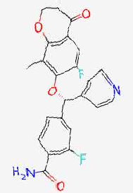 Cc1c(O[C@H](c2ccncc2)c2ccc(C(N)=O)c(F)c2)c(F)cc2c1OCCC2=O